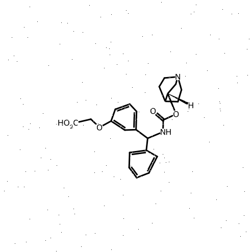 O=C(O)COc1cccc(C(NC(=O)O[C@H]2CN3CCC2CC3)c2ccccc2)c1